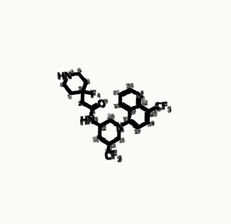 O=C(CC1(F)CCNCC1)N[C@@H]1C[C@H](C(F)(F)F)CN(c2ccc(C(F)(F)F)c3ncccc23)C1